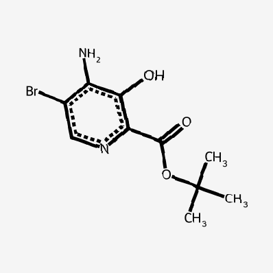 CC(C)(C)OC(=O)c1ncc(Br)c(N)c1O